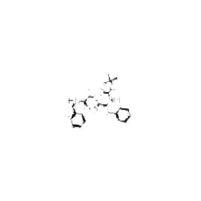 C[C@H](OC(=O)[C@H](Cc1ccccc1)NC(=O)OC(C)(C)C)C(=O)N[C@@H](C)c1ccccc1